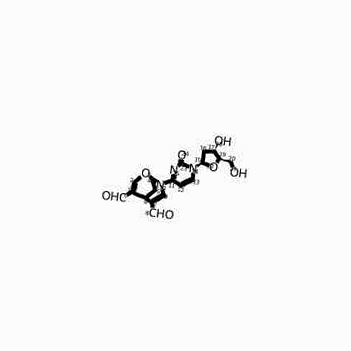 O=CC1=COC2CC1C(C=O)=CN2c1ccn([C@H]2C[C@H](O)[C@@H](CO)O2)c(=O)n1